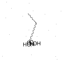 CCCCCCCC/C=C\CCCCCCCCCCCC(=O)ON(C(C)O)C(C)O